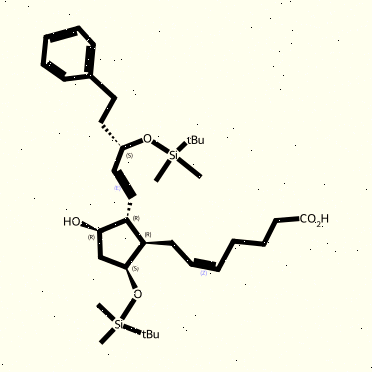 CC(C)(C)[Si](C)(C)O[C@H](/C=C/[C@@H]1[C@@H](C/C=C\CCCC(=O)O)[C@@H](O[Si](C)(C)C(C)(C)C)C[C@H]1O)CCc1ccccc1